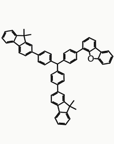 CC1(C)c2ccccc2-c2ccc(-c3ccc(C(c4ccc(-c5ccc6c(c5)C(C)(C)c5ccccc5-6)cc4)c4ccc(-c5cccc6c5oc5ccccc56)cc4)cc3)cc21